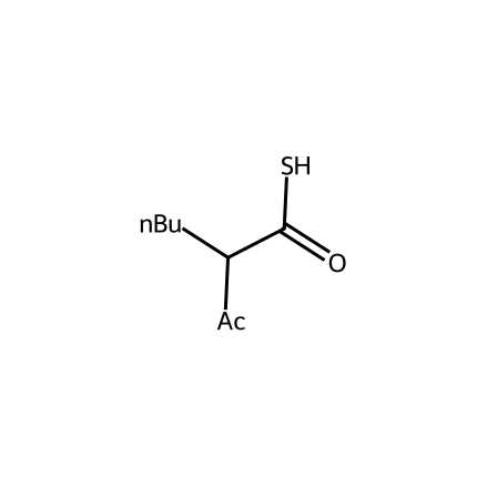 CCCCC(C(C)=O)C(=O)S